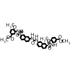 COC(=O)c1ccc(OC)c(NS(=O)(=O)c2ccc3ccc(NC(=O)Nc4ccc5ccc(S(=O)(=O)Nc6cc(C(=O)OC)ccc6OC)cc5c4)cc3c2)c1